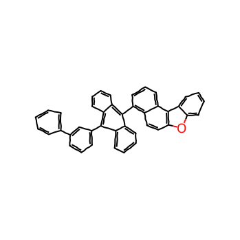 c1ccc(-c2cccc(-c3c4ccccc4c(-c4cccc5c4ccc4oc6ccccc6c45)c4ccccc34)c2)cc1